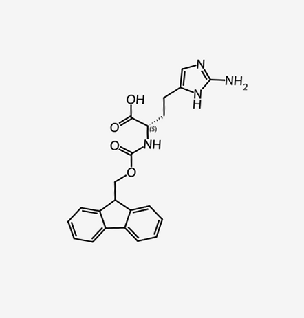 Nc1ncc(CC[C@H](NC(=O)OCC2c3ccccc3-c3ccccc32)C(=O)O)[nH]1